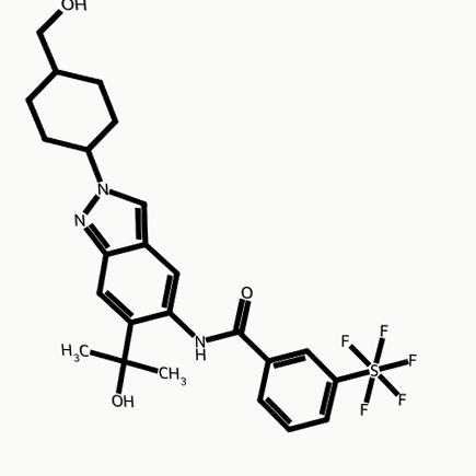 CC(C)(O)c1cc2nn(C3CCC(CO)CC3)cc2cc1NC(=O)c1cccc(S(F)(F)(F)(F)F)c1